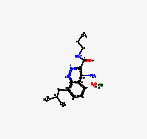 CCCNC(=O)c1nnc2c(CC(C)C)cccc2c1N.Cl.O